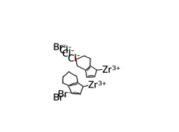 [Br-].[Br-].[Br-].[Cl-].[Cl-].[Cl-].[Zr+3][CH]1C=CC2=C1CCCC2.[Zr+3][CH]1C=CC2=C1CCCC2